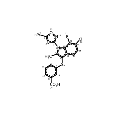 CCCc1nc(-n2c(C)c(Sc3cccc(C(=O)O)c3)c3ccc(Cl)c(F)c32)no1